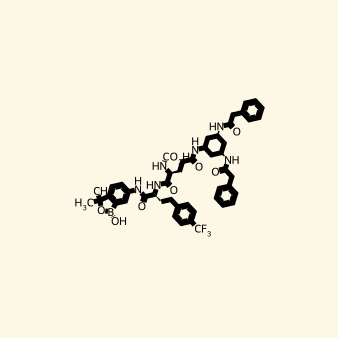 CC1(C)OB(O)c2cc(NC(=O)[C@@H](CCc3ccc(C(F)(F)F)cc3)NC(=O)[C@H](CCC(=O)NC3C[C@@H](NC(=O)Cc4ccccc4)C[C@@H](NC(=O)Cc4ccccc4)C3)NC(=O)O)ccc21